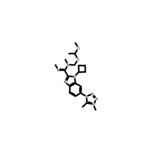 C/N=C(/c1nc2ccc(-n3nn[n+](C)c3C)cc2n1C1CCC1)N(C)COC(C)OC